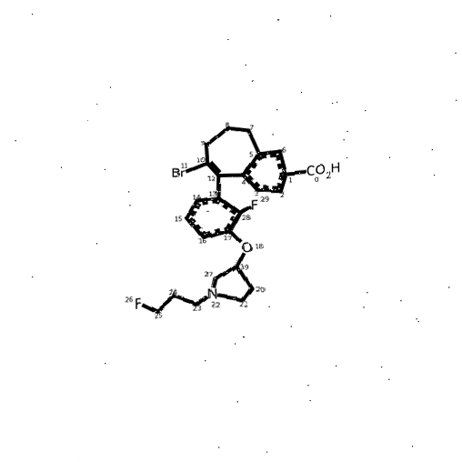 O=C(O)c1ccc2c(c1)CCCC(Br)=C2c1cccc(OC2CCN(CCCF)C2)c1F